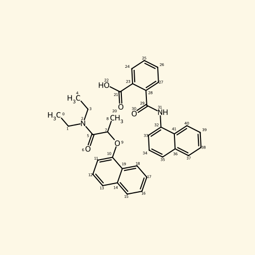 CCN(CC)C(=O)C(C)Oc1cccc2ccccc12.O=C(O)c1ccccc1C(=O)Nc1cccc2ccccc12